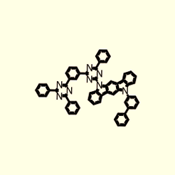 c1ccc(-c2cccc(-n3c4ccccc4c4cc5c(cc43)c3ccccc3n5-c3nc(-c4ccccc4)nc(-c4cccc(-c5nc(-c6ccccc6)nc(-c6ccccc6)n5)c4)n3)c2)cc1